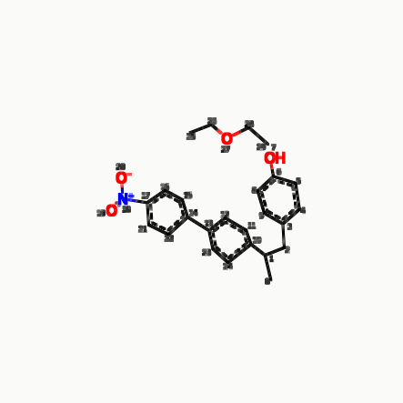 CC(Cc1ccc(O)cc1)c1ccc(-c2ccc([N+](=O)[O-])cc2)cc1.CCOCC